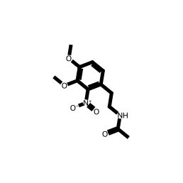 COc1ccc(CCNC(C)=O)c([N+](=O)[O-])c1OC